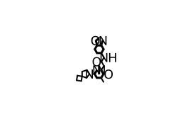 Cc1cc(N2CCC3(CCC3)C2)nn(CC(=O)Nc2ccc3ocnc3c2)c1=O